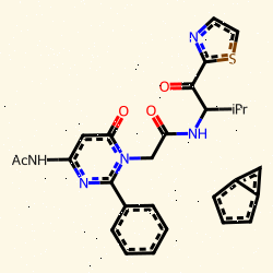 CC(=O)Nc1cc(=O)n(CC(=O)NC(C(=O)c2nccs2)C(C)C)c(-c2ccccc2)n1.c1cc2cc-2c1